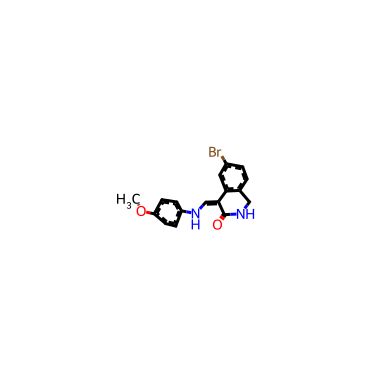 COc1ccc(NC=C2C(=O)NCc3ccc(Br)cc32)cc1